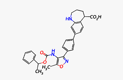 Cc1onc(-c2ccc(-c3ccc4c(c3)NCCCC4C(=O)O)cc2)c1NC(=O)OC(C)c1ccccc1